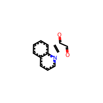 C=C.O=CC=O.c1ccc2ncccc2c1